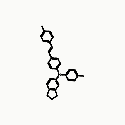 Cc1ccc(C=Cc2ccc(N(c3ccc(C)cc3)c3ccc4c(c3)CCC4)cc2)cc1